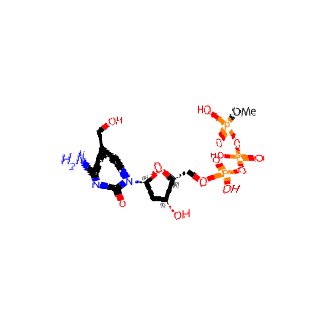 COP(=O)(O)OP(=O)(O)OP(=O)(O)OC[C@H]1O[C@@H](n2cc(CO)c(N)nc2=O)C[C@H]1O